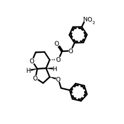 O=C(Oc1ccc([N+](=O)[O-])cc1)O[C@H]1CCO[C@H]2OC[C@H](OCc3ccccc3)[C@H]21